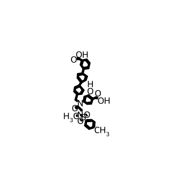 Cc1ccc(S(=O)(=O)N(C)CC(=O)N(Cc2ccc(-c3ccc(-c4cccc(C(=O)O)c4)cc3)cc2)c2ccc(C(=O)O)c(O)c2)cc1